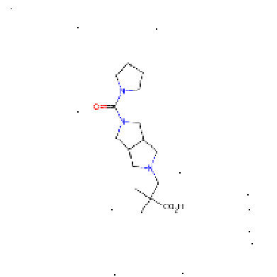 CC(C)(CN1CC2CN(C(=O)N3CCCC3)CC2C1)C(=O)O